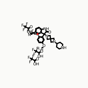 CCOc1ccc(OC)cc1C1(N2CC3(CN(C4CCNCC4)C3)C2)C(=O)Nc2ccc(C#N)cc21.O=C(O)C(F)(F)F.O=C(O)C(F)(F)F.O=C(O)C(F)(F)F